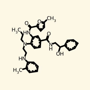 CCCN(CCNc1ccccc1C)c1ccc(C(=O)NCC(O)c2ccccc2)cc1NC(=O)c1ccc(C)o1